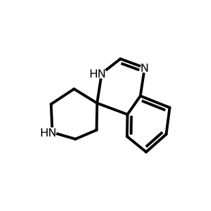 C1=Nc2ccccc2C2(CCNCC2)N1